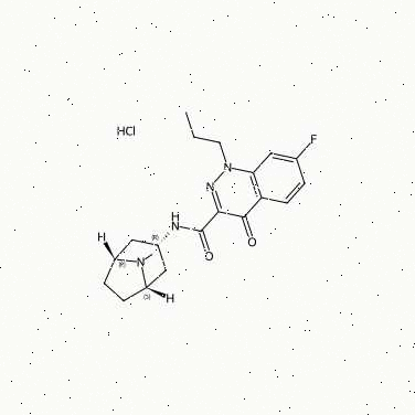 CCCn1nc(C(=O)N[C@H]2C[C@H]3CC[C@@H](C2)N3C)c(=O)c2ccc(F)cc21.Cl